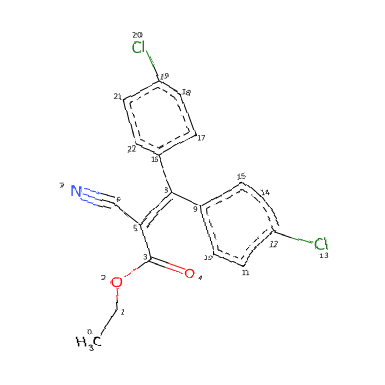 CCOC(=O)C(C#N)=C(c1ccc(Cl)cc1)c1ccc(Cl)cc1